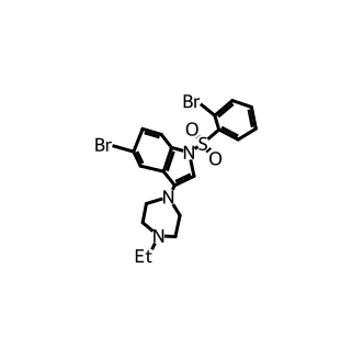 CCN1CCN(c2cn(S(=O)(=O)c3ccccc3Br)c3ccc(Br)cc23)CC1